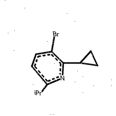 CC(C)c1ccc(Br)c(C2CC2)n1